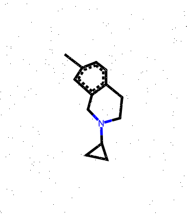 Cc1ccc2c(c1)CN(C1CC1)CC2